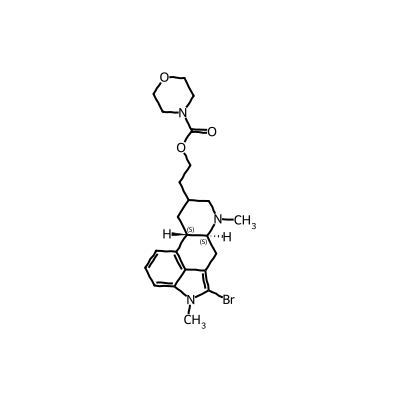 CN1CC(CCOC(=O)N2CCOCC2)C[C@H]2c3cccc4c3c(c(Br)n4C)C[C@@H]21